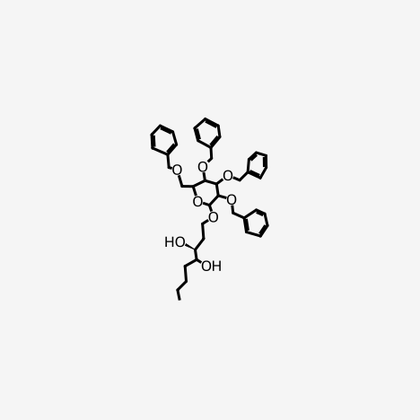 CCCCC(O)[C@@H](O)CCOC1OC(COCc2ccccc2)C(OCc2ccccc2)C(OCc2ccccc2)C1OCc1ccccc1